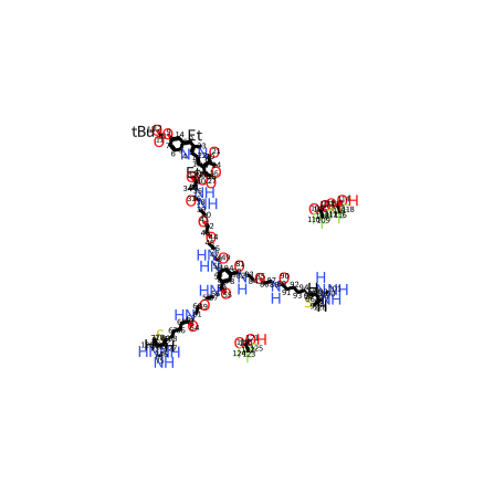 CCc1c2c(nc3ccc(OC(=O)OC(C)(C)C)cc13)-c1cc3c(c(=O)n1C2)COC(=O)[C@@]3(CC)OC(=O)[C@H](C)NC(=O)NCCOCCOCCNC(=O)Nc1cc(C(=O)NCCOCCNC(=O)CCCC[C@@H]2SC[C@@H]3NC(=N)N[C@@H]32)cc(C(=O)NCCOCCNC(=O)CCCC[C@@H]2SC[C@@H]3NC(=N)N[C@@H]32)c1.O=C(O)C(F)(F)F.O=C(O)C(F)(F)F.O=C(O)C(F)(F)F